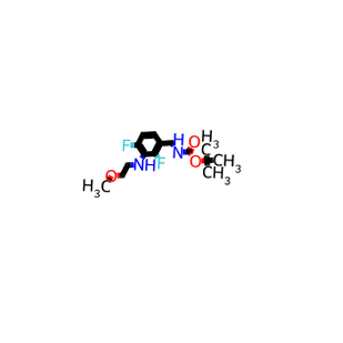 COCCNc1c(F)ccc(CNC(=O)OC(C)(C)C)c1F